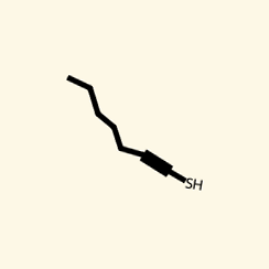 CCCCCC#CS